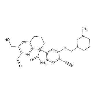 CN1CCCC(COc2cc([N+]3(C(N)=O)CCCc4cc(CO)c(C=O)nc43)ncc2C#N)C1